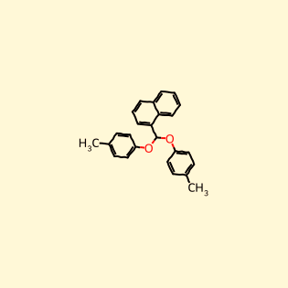 Cc1ccc(OC(Oc2ccc(C)cc2)c2cccc3ccccc23)cc1